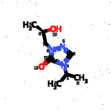 CC(C)n1cnn(C[C@@H](C)O)c1=O